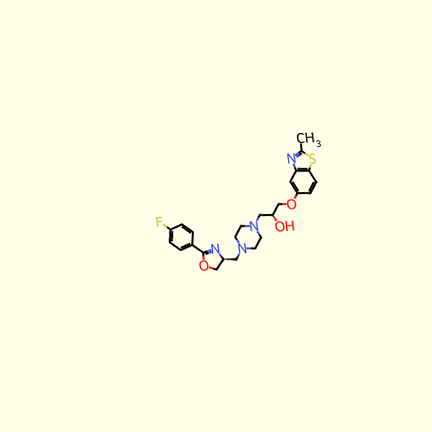 Cc1nc2cc(OC[C@@H](O)CN3CCN(C[C@H]4COC(c5ccc(F)cc5)=N4)CC3)ccc2s1